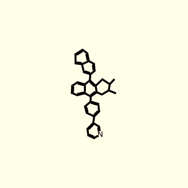 CC1Cc2c(c(-c3ccc4ccccc4c3)c3ccccc3c2-c2ccc(-c3cccnc3)cc2)CC1C